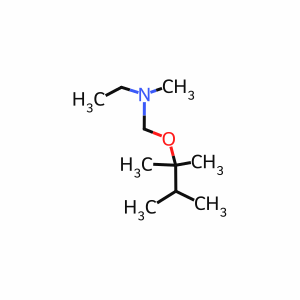 CCN(C)COC(C)(C)C(C)C